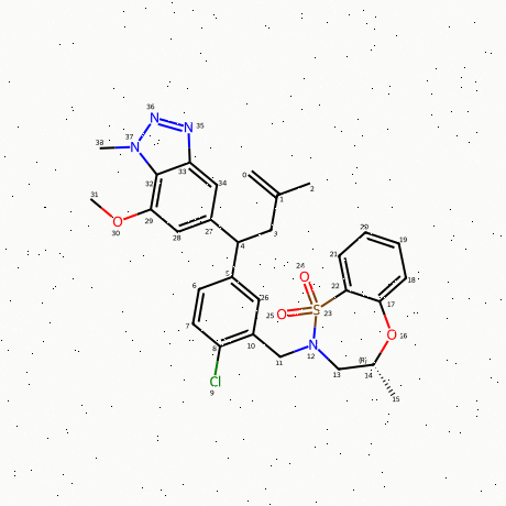 C=C(C)CC(c1ccc(Cl)c(CN2C[C@@H](C)Oc3ccccc3S2(=O)=O)c1)c1cc(OC)c2c(c1)nnn2C